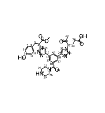 COC(=O)[C@H](Cc1ccc(O)cc1)n1cc(-c2cc(C(=O)N3CCNCC3)cc(-c3cn([C@@H](CCC(=O)O)C(C)=O)nn3)c2)nn1